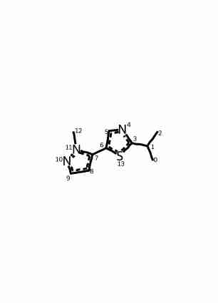 CC(C)c1ncc(-c2ccnn2C)s1